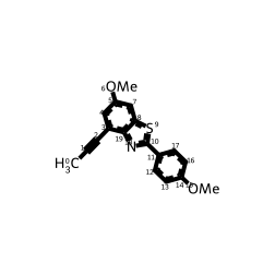 CC#Cc1cc(OC)cc2sc(-c3ccc(OC)cc3)nc12